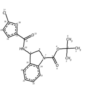 CC(C)(C)OC(=O)N1CC(NC(=O)c2ccc(Cl)s2)c2ccccc21